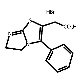 Br.O=C(O)CC1=C(c2ccccc2)N2CCN=C2S1